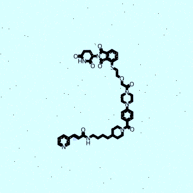 O=C(/C=C/c1cccnc1)NCCCCC1CCN(C(=O)c2ccc(N3CCN(C(=O)COCCSc4cccc5c4C(=O)N(C4CCC(=O)NC4=O)C5=O)CC3)cc2)CC1